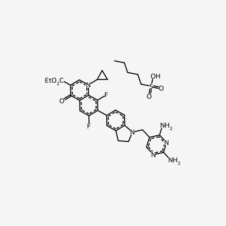 CCCCCS(=O)(=O)O.CCOC(=O)c1cn(C2CC2)c2c(F)c(-c3ccc4c(c3)CCN4Cc3cnc(N)nc3N)c(F)cc2c1=O